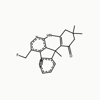 CC1(C)CC(=O)C2=C(C1)Nc1ncc(CF)c(C#N)c1C2(C)c1ccccc1